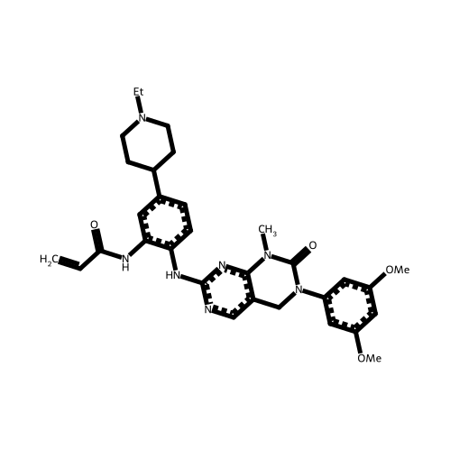 C=CC(=O)Nc1cc(C2CCN(CC)CC2)ccc1Nc1ncc2c(n1)N(C)C(=O)N(c1cc(OC)cc(OC)c1)C2